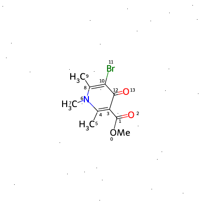 COC(=O)c1c(C)n(C)c(C)c(Br)c1=O